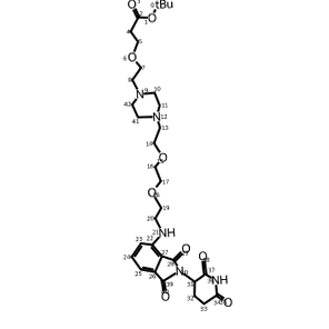 CC(C)(C)OC(=O)CCOCCN1CCN(CCOCCOCCNc2cccc3c2C(=O)N(C2CCC(=O)NC2=O)C3=O)CC1